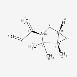 C=C(C=O)[C@H]1C[C@@H]2C[C@]2(C)C1(C)C